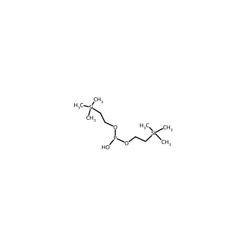 C[Si](C)(C)CCOP(O)OCC[Si](C)(C)C